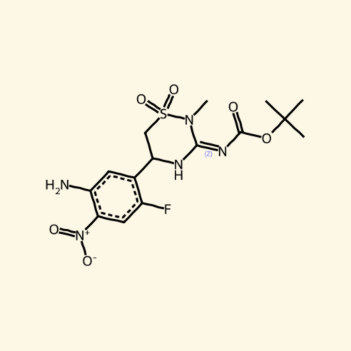 CN1/C(=N\C(=O)OC(C)(C)C)NC(c2cc(N)c([N+](=O)[O-])cc2F)CS1(=O)=O